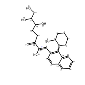 CCC1CCCCN1c1c(/C=C(\C#N)C(=O)CCC(O)C(O)CO)ccc2ccccc12